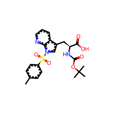 Cc1ccc(S(=O)(=O)n2cc(C[C@H](NC(=O)OC(C)(C)C)C(=O)O)c3cccnc32)cc1